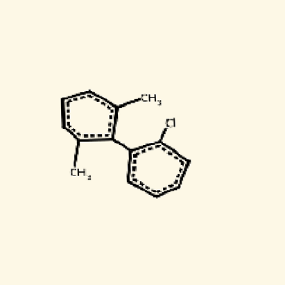 Cc1cccc(C)c1-c1ccccc1Cl